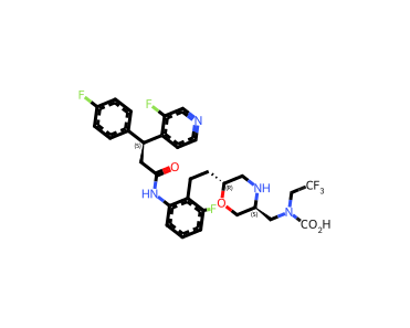 O=C(C[C@@H](c1ccc(F)cc1)c1ccncc1F)Nc1cccc(F)c1CC[C@@H]1CN[C@@H](CN(CC(F)(F)F)C(=O)O)CO1